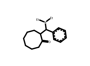 CCN(CC)C(c1ccccc1)C1CCCCCCC1=O